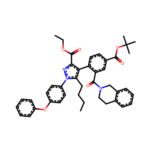 CCCCc1c(-c2ccc(C(=O)OC(C)(C)C)cc2C(=O)N2CCc3ccccc3C2)c(C(=O)OCC)nn1-c1ccc(Oc2ccccc2)cc1